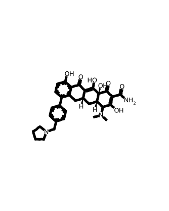 CN(C)C1C(O)=C(C(N)=O)C(=O)[C@@]2(O)C(O)=C3C(=O)c4c(O)ccc(-c5ccc(CN6CCCC6)cc5)c4C[C@H]3C[C@@H]12